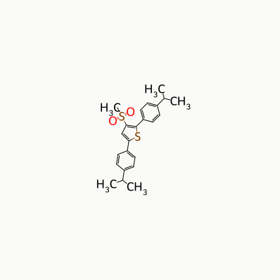 CC(C)c1ccc(-c2cc(S(C)(=O)=O)c(-c3ccc(C(C)C)cc3)s2)cc1